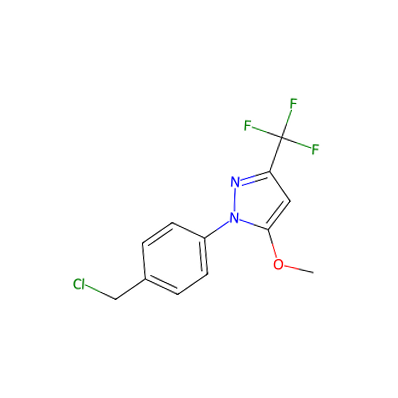 COc1cc(C(F)(F)F)nn1-c1ccc(CCl)cc1